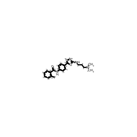 CN(C)CCCNc1nnc(-c2ccc(NC(=O)c3ccccc3F)cc2)o1